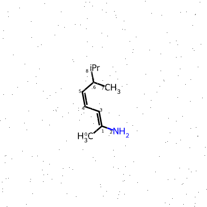 C/C(N)=C\C=C/C(C)C(C)C